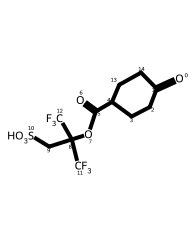 O=C1CCC(C(=O)OC(CS(=O)(=O)O)(C(F)(F)F)C(F)(F)F)CC1